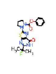 CC(C)(F)c1nc2sc(N3CCCN3C(=O)Oc3ccccc3)nc2c(=O)[nH]1